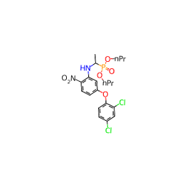 CCCOP(=O)(OCCC)C(C)Nc1cc(Oc2ccc(Cl)cc2Cl)ccc1[N+](=O)[O-]